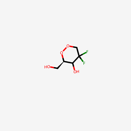 OC[C@H]1OOCC(F)(F)C1O